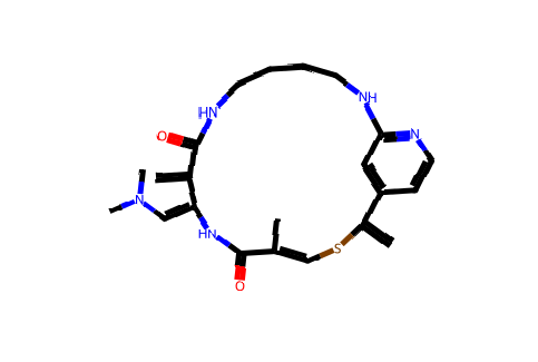 C=C1C(=O)NCCCCNc2cc(ccn2)C(=C)S/C=C(\C)C(=O)N/C1=C/N(C)C